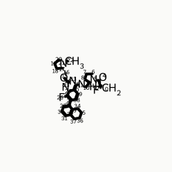 C=C(F)C(=O)N1CCC2[C@H]1CN2c1nc(OC[C@@H]2CCCN2C)nc2c(F)c(-c3cccc4c3CCCC4)ccc12